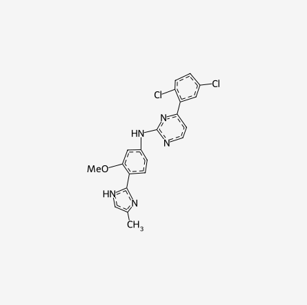 COc1cc(Nc2nccc(-c3cc(Cl)ccc3Cl)n2)ccc1-c1nc(C)c[nH]1